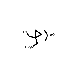 C[S+](C)[O-].O=C(O)CC1(CS)CC1